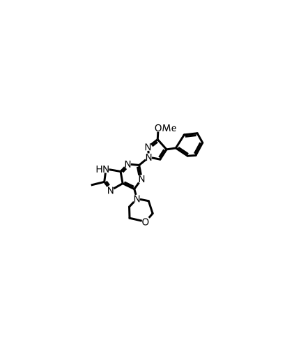 COc1nn(-c2nc(N3CCOCC3)c3nc(C)[nH]c3n2)cc1-c1ccccc1